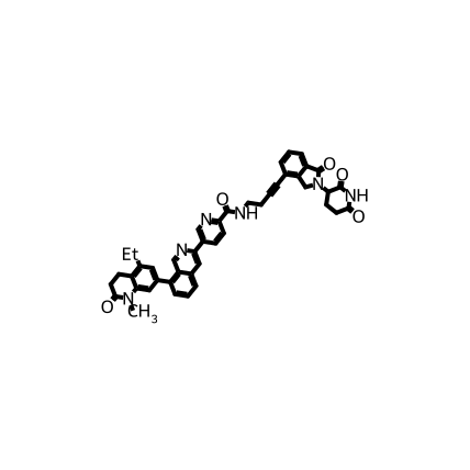 CCc1cc(-c2cccc3cc(-c4ccc(C(=O)NCCC#Cc5cccc6c5CN(C5CCC(=O)NC5=O)C6=O)nc4)ncc23)cc2c1CCC(=O)N2C